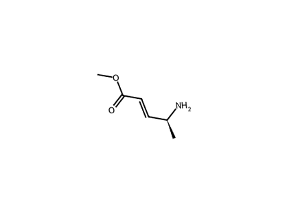 COC(=O)C=C[C@H](C)N